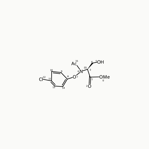 COC(=O)[C@H](CO)N(Oc1ccc(Cl)cc1)C(C)=O